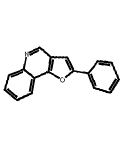 c1ccc(-c2cc3cnc4ccccc4c3o2)cc1